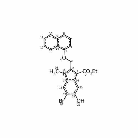 CCOC(=O)c1c(COc2cccc3ccccc23)n(C)c2cc(Br)c(O)cc12